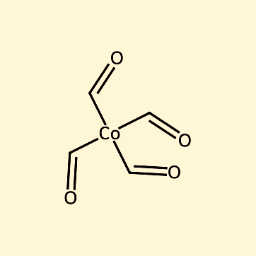 O=[CH][Co]([CH]=O)([CH]=O)[CH]=O